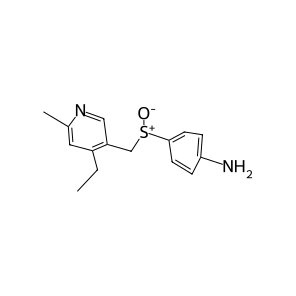 CCc1cc(C)ncc1C[S+]([O-])c1ccc(N)cc1